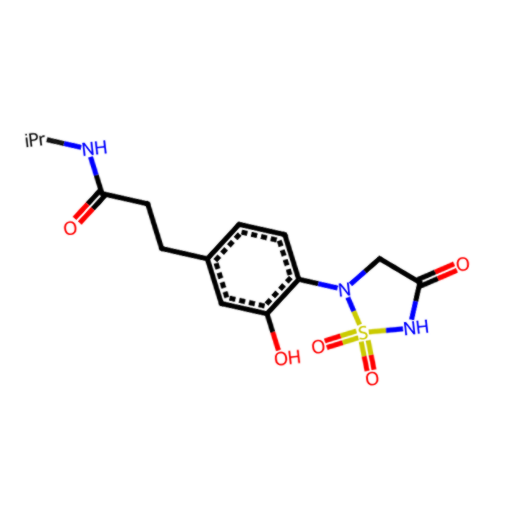 CC(C)NC(=O)CCc1ccc(N2CC(=O)NS2(=O)=O)c(O)c1